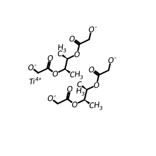 C[C@@H](OC(=O)C[O-])[C@@H](C)OC(=O)C[O-].C[C@@H](OC(=O)C[O-])[C@@H](C)OC(=O)C[O-].[Ti+4]